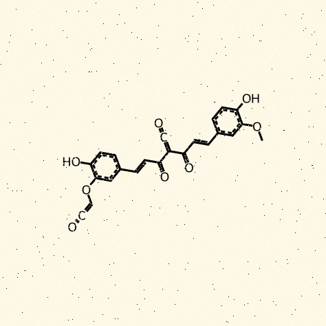 COc1cc(/C=C/C(=O)C(=C=O)C(=O)/C=C/c2ccc(O)c(OC=C=O)c2)ccc1O